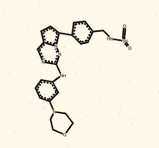 O=[SH](=O)NCc1ccc(-c2ccc3cnc(Nc4cccc(N5CCOCC5)c4)nn23)cc1